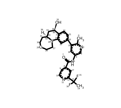 Cc1ncc(NC(=O)c2ccnc(C(C)(F)F)c2)cc1-c1ccc2c(c1)N1CCOCC[C@H]1C[C@H]2O